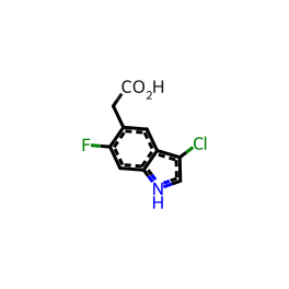 O=C(O)Cc1cc2c(Cl)c[nH]c2cc1F